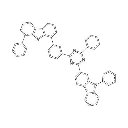 c1ccc(-c2nc(-c3cccc(-c4cccc5c4sc4c(-c6ccccc6)cccc45)c3)nc(-c3ccc4c5ccccc5n(-c5ccccc5)c4c3)n2)cc1